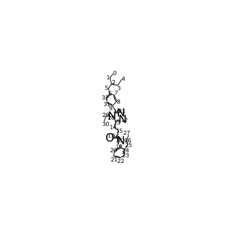 CCC(CC)Cc1ccc(-c2nnc(CCC(=O)N3c4ccccc4CC3C)n2CC)cc1